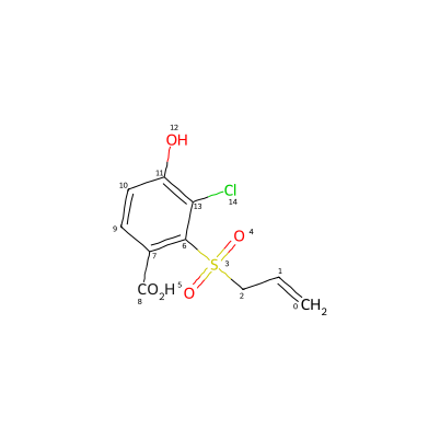 C=CCS(=O)(=O)c1c(C(=O)O)ccc(O)c1Cl